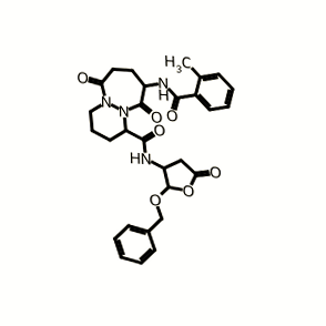 Cc1ccccc1C(=O)NC1CCC(=O)N2CCCC(C(=O)NC3CC(=O)OC3OCc3ccccc3)N2C1=O